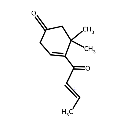 C/C=C/C(=O)C1=CCC(=O)CC1(C)C